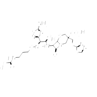 CC(C)(C)OC(=O)NCCCON=C(C(=O)NC1C(=O)N2CC(CSc3nncs3)(C(=O)O)CS[C@H]12)c1nsc(N)n1